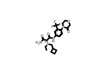 CCN(CC1CCC1)[C@H](C(N)=O)C(=O)Nc1ccc(N2CCOCC2=O)c(C(F)(F)F)c1